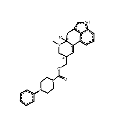 CN1C[C@H](COC(=O)N2CCN(c3ccccc3)CC2)C=C2c3cccc4[nH]cc(c34)C[C@H]21